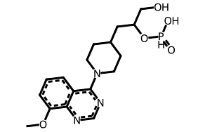 COc1cccc2c(N3CCC(CC(CO)O[PH](=O)O)CC3)ncnc12